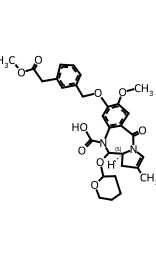 COC(=O)Cc1cccc(COc2cc3c(cc2OC)C(=O)N2C=C(C)C[C@H]2C(OC2CCCCO2)N3C(=O)O)c1